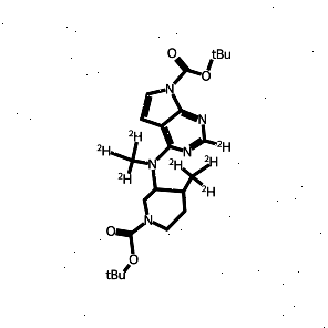 [2H]c1nc(N(C2CN(C(=O)OC(C)(C)C)CCC2C([2H])([2H])[2H])C([2H])([2H])[2H])c2ccn(C(=O)OC(C)(C)C)c2n1